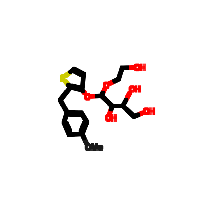 COc1ccc(Cc2sccc2OC(OCCO)C(O)C(O)CO)cc1